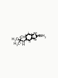 CC(C)(C)Nc1ccc2nc(N)sc2c1